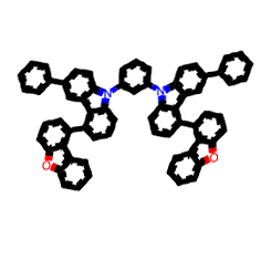 c1ccc(-c2ccc3c(c2)c2c(-c4cccc5oc6ccccc6c45)cccc2n3-c2cccc(-n3c4ccc(-c5ccccc5)cc4c4c(-c5cccc6oc7ccccc7c56)cccc43)c2)cc1